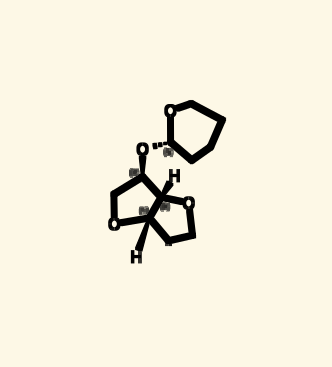 [C]1CO[C@@H]2[C@H]1OC[C@H]2O[C@H]1CCCCO1